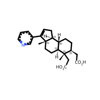 C[C@]1(CC(=O)O)[C@H](CC(=O)O)CC[C@@H]2[C@@H]1CC[C@]1(C)C(c3cccnc3)=CC[C@@H]21